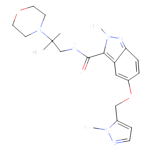 Cn1nccc1COc1ccc2nn(C)c(C(=O)NCC(C)(C)N3CCOCC3)c2c1